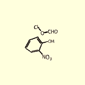 O=COCl.O=[N+]([O-])c1ccccc1O